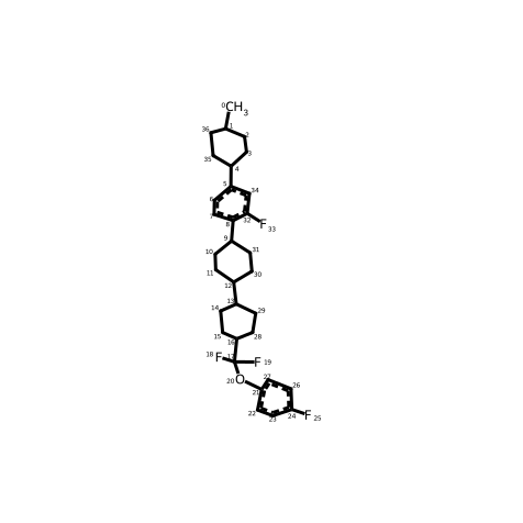 CC1CCC(c2ccc(C3CCC(C4CCC(C(F)(F)Oc5ccc(F)cc5)CC4)CC3)c(F)c2)CC1